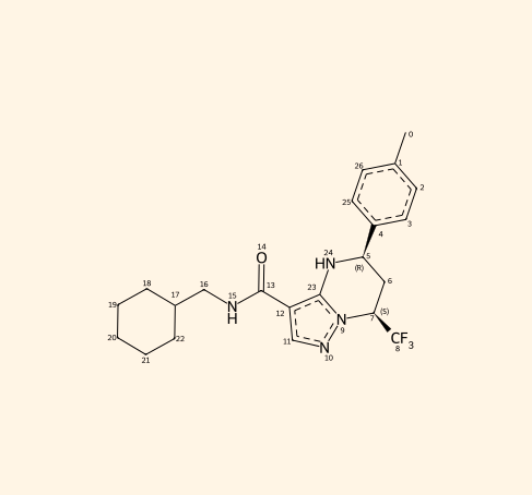 Cc1ccc([C@H]2C[C@@H](C(F)(F)F)n3ncc(C(=O)NCC4CCCCC4)c3N2)cc1